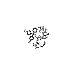 COc1ccc(C(OC[C@H]2O[C@@H](n3cnc4c(=O)[nH]c(NC(=O)C(C)C)nc43)C[C@H]2OP(OCCC#N)N(C(C)C)C(C)C)(c2ccccc2)c2ccc(OC)cc2)cc1